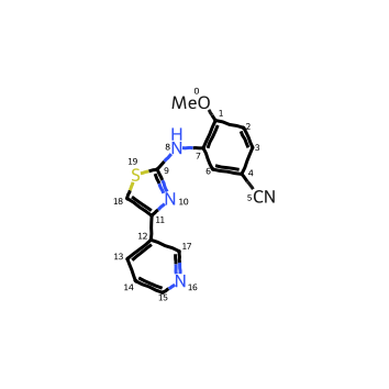 COc1ccc(C#N)cc1Nc1nc(-c2cccnc2)cs1